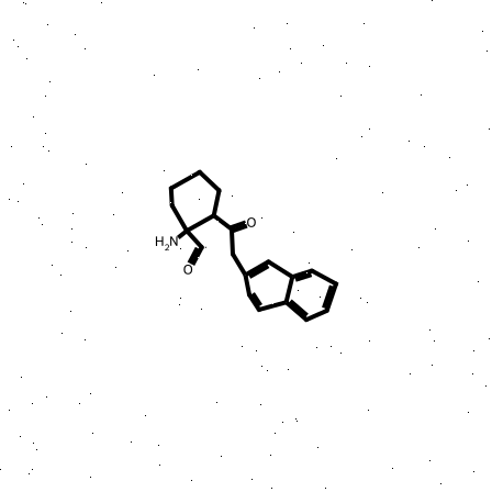 NC1([C]=O)CCCCC1C(=O)Cc1ccc2ccccc2c1